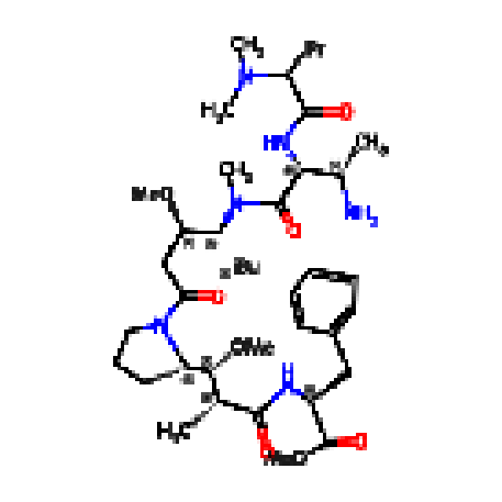 CC[C@H](C)[C@@H]([C@@H](CC(=O)N1CCC[C@H]1[C@H](OC)[C@@H](C)C(=O)N[C@@H](Cc1ccccc1)C(=O)OC)OC)N(C)C(=O)[C@H](NC(=O)C(C(C)C)N(C)C)[C@H](C)N